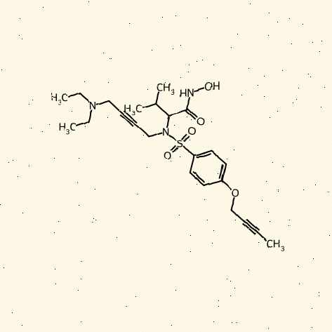 CC#CCOc1ccc(S(=O)(=O)N(CC#CCN(CC)CC)C(C(=O)NO)C(C)C)cc1